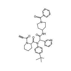 C#CC(=O)N1CCCCC1C(=O)N(c1ccc(C(C)(C)C)cc1)C(C(=O)NC1CCN(C(=O)c2ccccc2)CC1)c1cccnc1